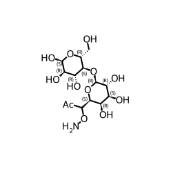 CC(=O)C(ON)[C@H]1O[C@@H](O[C@H]2[C@H](O)[C@@H](O)[C@@H](O)O[C@@H]2CO)[C@H](O)[C@@H](O)[C@H]1O